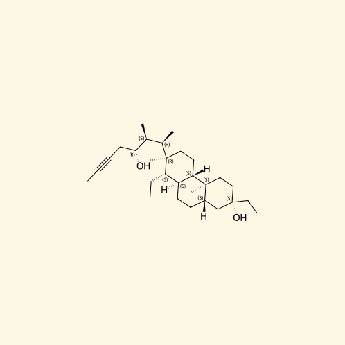 CC#CC[C@@H](O)[C@@H](C)[C@@H](C)[C@@]1(C)CC[C@H]2[C@@H](CC[C@H]3C[C@](O)(CC)CC[C@@]32C)[C@@H]1CC